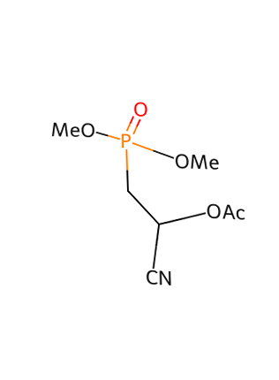 COP(=O)(CC(C#N)OC(C)=O)OC